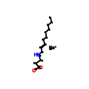 CCCCCCCC=CCNCCC(=O)[O-].[Na+]